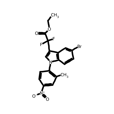 CCOC(=O)C(F)(F)c1cn(-c2ccc([N+](=O)[O-])cc2C)c2ccc(Br)cc12